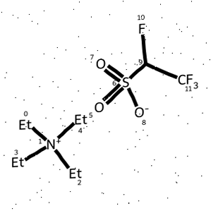 CC[N+](CC)(CC)CC.O=S(=O)([O-])C(F)C(F)(F)F